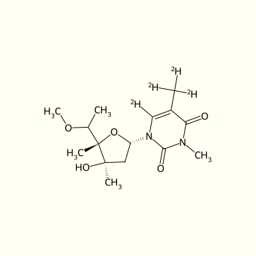 [2H]c1c(C([2H])([2H])[2H])c(=O)n(C)c(=O)n1[C@@H]1C[C@@](C)(O)[C@](C)(C(C)OC)O1